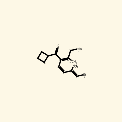 CC/C=C(N)/C=C\C(C(=O)C1CCC1)=C(/C)CC(C)(C)C